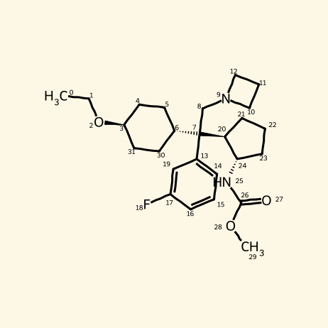 CCO[C@H]1CC[C@H](C(CN2CCC2)(c2cccc(F)c2)[C@H]2CCC[C@@H]2NC(=O)OC)CC1